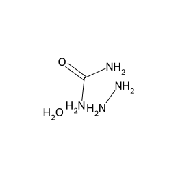 NC(N)=O.NN.O